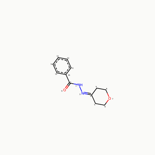 O=C(NN=C1CCOCC1)c1ccccc1